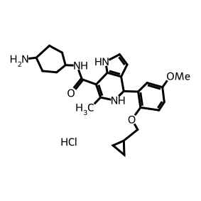 COc1ccc(OCC2CC2)c(C2NC(C)=C(C(=O)NC3CCC(N)CC3)c3[nH]ccc32)c1.Cl